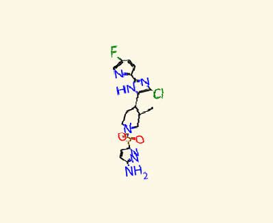 C[C@H]1CN(S(=O)(=O)c2ccc(N)nn2)CC[C@H]1c1[nH]c(-c2ccc(F)cn2)nc1Cl